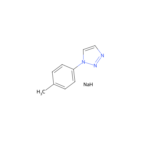 Cc1ccc(-n2ccnn2)cc1.[NaH]